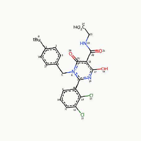 CC(C)(C)c1ccc(Cn2c(-c3cccc(Cl)c3Cl)nc(O)c(C(=O)NCC(=O)O)c2=O)cc1